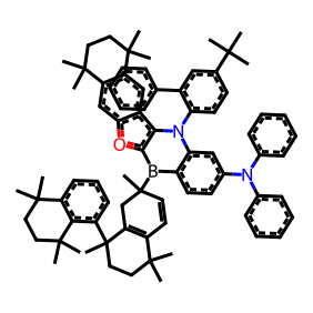 CC1(B2c3ccc(N(c4ccccc4)c4ccccc4)cc3N(c3ccc(C(C)(C)C)cc3-c3ccccc3)c3c2oc2cc4c(cc32)C(C)(C)CCC4(C)C)C=CC2=C(C1)C(C)(c1cccc3c1C(C)(C)CCC3(C)C)CCC2(C)C